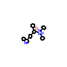 c1ccc(-c2nc(-c3ccccc3)nc(-c3cc(-c4ccc(-c5ccnc6ccccc56)cc4)cc4c3oc3ccccc34)n2)cc1